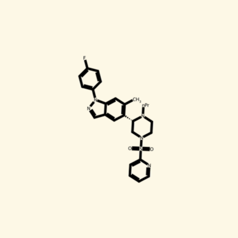 CCCN1CCN(S(=O)(=O)c2ccccn2)C[C@@H]1c1cc2cnn(-c3ccc(F)cc3)c2cc1C